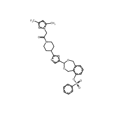 Cc1cc(C(F)(F)F)nn1CC(=O)N1CCC(c2nc(C3OCc4cccc(OS(=O)(=O)c5ccccc5)c4CO3)cs2)CC1